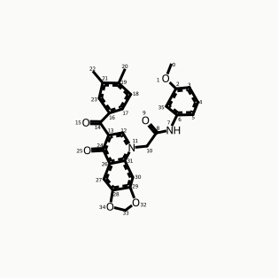 COc1cccc(NC(=O)Cn2cc(C(=O)c3ccc(C)c(C)c3)c(=O)c3cc4c(cc32)OCO4)c1